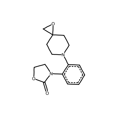 O=C1OCCN1c1ccccc1N1CCC2(CC1)CO2